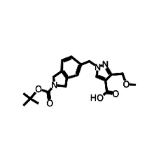 COCc1nn(Cc2ccc3c(c2)CN(C(=O)OC(C)(C)C)C3)cc1C(=O)O